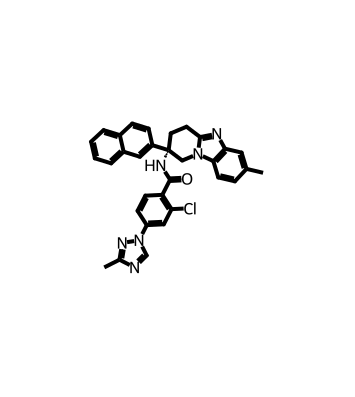 Cc1ccc2c(c1)nc1n2C[C@@](NC(=O)c2ccc(-n3cnc(C)n3)cc2Cl)(c2ccc3ccccc3c2)CC1